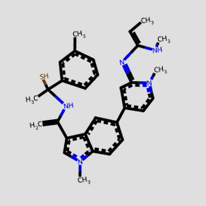 C=C(NC(C)(S)c1cccc(C)c1)c1cn(C)c2ccc(-c3ccn(C)/c(=N\C(=CC)NC)c3)cc12